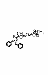 CC(OCCOCCOS(C)(=O)=O)C(F)CN(Cc1ccccc1)Cc1ccccc1